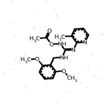 COc1cccc(OC)c1CNC(=Nc1ncccc1C)NOC(C)=O